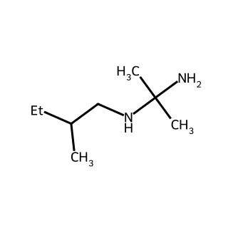 CCC(C)CNC(C)(C)N